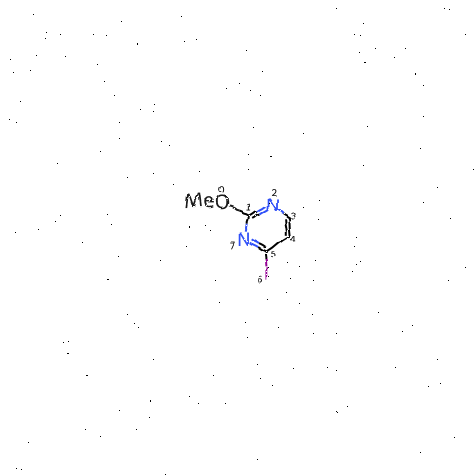 COc1nccc(I)n1